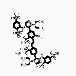 CCN(CC)N1N=CN(Nc2cc(S(=O)(=O)O)ccc2S(=O)(=O)O)C1c1ccc(C=Cc2c(N)cc(C3N(Nc4cc(S(=O)(=O)O)ccc4S(=O)(=O)O)C=NN3N(CC)CC)cc2S(=O)(=O)O)c(S(=O)(=O)O)c1.[NaH]